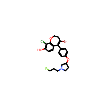 Oc1ccc2c(c1Cl)OCCC(Br)=C2c1ccc(OC2CCN(CCCF)C2)cc1